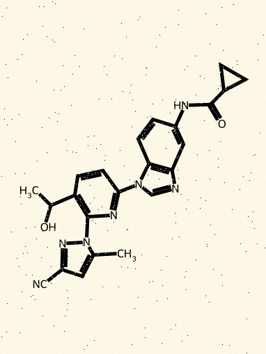 Cc1cc(C#N)nn1-c1nc(-n2cnc3cc(NC(=O)C4CC4)ccc32)ccc1C(C)O